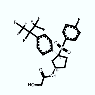 O=C(CO)N[C@@H]1CC[C@](c2ccc(C(F)(C(F)(F)F)C(F)(F)F)cc2)(S(=O)(=O)c2ccc(F)cc2)C1